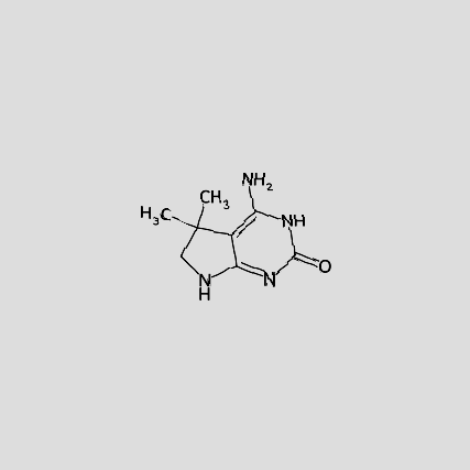 CC1(C)CNc2nc(=O)[nH]c(N)c21